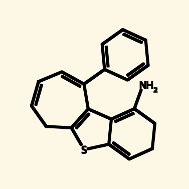 NC1=c2c3c(sc2=CCC1)CC=CC=C3c1ccccc1